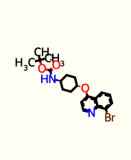 CC(C)(C)OC(=O)N[C@H]1CC[C@H](Oc2ccnc3c(Br)cccc23)CC1